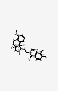 COc1cccc2c1CC[C@H]1CNC(CCn3cnc4c(C)c(C)ccc4c3=O)[C@@H]21